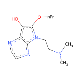 CCCOc1c(O)c2nccnc2n1CCN(C)C